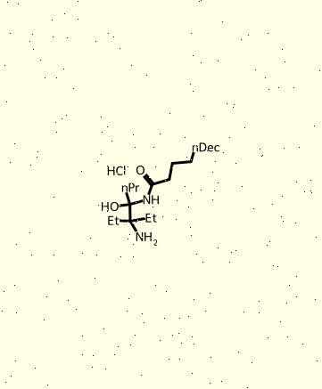 CCCCCCCCCCCCCC(=O)NC(O)(CCC)C(N)(CC)CC.Cl